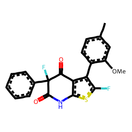 COc1cc(C)ccc1-c1c(F)sc2c1C(=O)C(F)(c1ccccc1)C(=O)N2